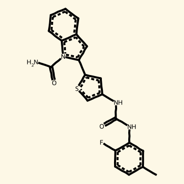 Cc1ccc(F)c(NC(=O)Nc2csc(-c3cc4ccccc4n3C(N)=O)c2)c1